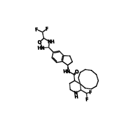 O=C(N[C@@H]1CCc2cc(C3NOC(C(F)F)N3)ccc21)C1CCNC(C(F)F)C12CCCCCCCCC2